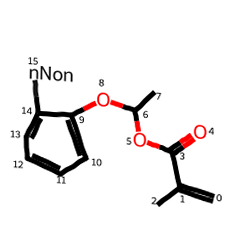 C=C(C)C(=O)OC(C)Oc1ccccc1CCCCCCCCC